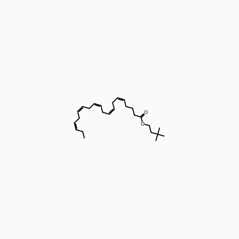 CC/C=C\C/C=C\C/C=C\C/C=C\C/C=C\CCCC(=O)OCCC(C)(C)C